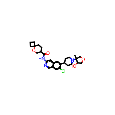 CC1(N2CCC(c3cc4cc(NC(=O)C5CCC6(CCC6)OC5)ncc4cc3Cl)CC2)COCC1O